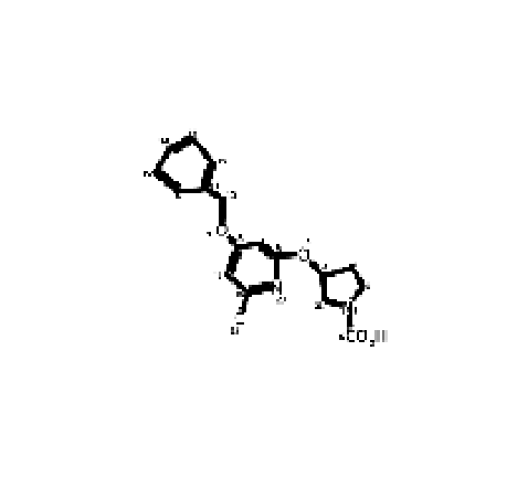 O=C(O)N1CCC(Oc2cc(OCc3ccccc3)cc(Cl)n2)C1